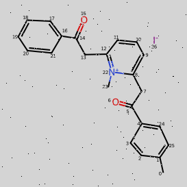 Cc1ccc(C(=O)Cc2cccc(CC(=O)c3ccccc3)[n+]2C)cc1.[I-]